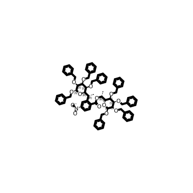 C[C@H](c1cc([N+](=O)[O-])ccc1C(=O)O[C@H](C)[C@H]1O[C@H](OCc2ccccc2)[C@@H](OCc2ccccc2)[C@@H](OCc2ccccc2)[C@@H]1OCc1ccccc1)[C@H]1O[C@H](OCc2ccccc2)[C@@H](OCc2ccccc2)[C@@H](OCc2ccccc2)[C@H]1OCc1ccccc1